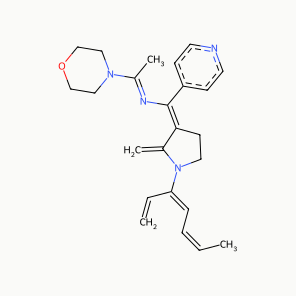 C=C/C(=C\C=C/C)N1CC/C(=C(/N=C(\C)N2CCOCC2)c2ccncc2)C1=C